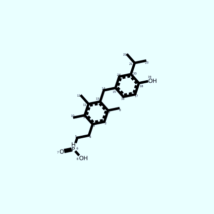 Cc1cc(CC[PH](=O)O)c(C)c(C)c1Cc1ccc(O)c(C(C)C)c1